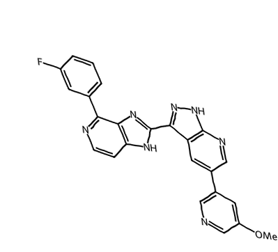 COc1cncc(-c2cnc3[nH]nc(-c4nc5c(-c6cccc(F)c6)nccc5[nH]4)c3c2)c1